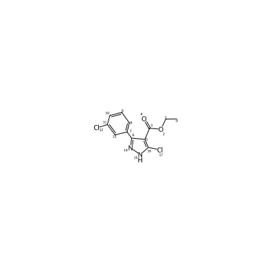 CCOC(=O)c1c(-c2cccc(Cl)c2)n[nH]c1Cl